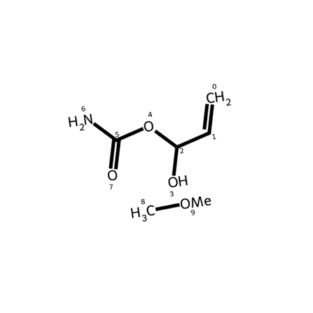 C=CC(O)OC(N)=O.COC